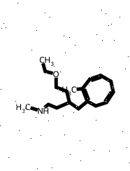 CCOCCC(CCNC)C/C1=C(C)/C=C\C/C=C\C1